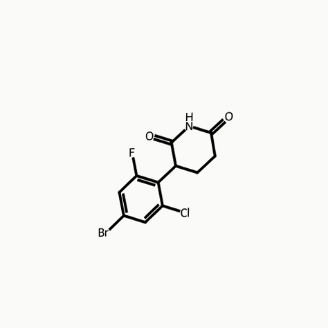 O=C1CCC(c2c(F)cc(Br)cc2Cl)C(=O)N1